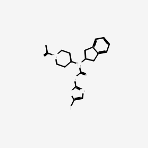 CC(=O)N1CCC(N(C(=O)Nc2ncc(Cl)s2)C2Cc3ccccc3C2)CC1